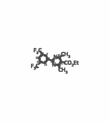 CCOC(=O)c1c(C)nc(-c2cc(C(F)(F)F)cc(C(F)(F)F)c2)nc1C